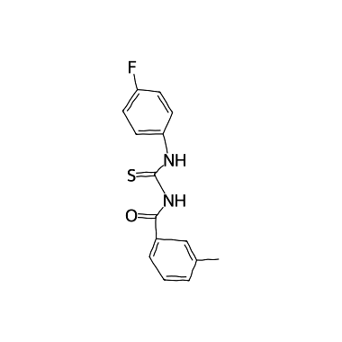 Cc1cccc(C(=O)NC(=S)Nc2ccc(F)cc2)c1